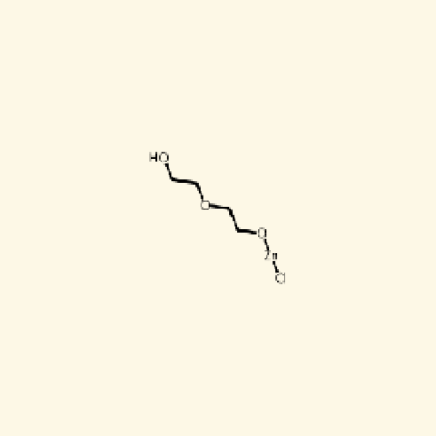 OCCOCC[O][Zn][Cl]